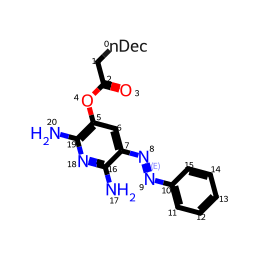 CCCCCCCCCCCC(=O)Oc1cc(/N=N/c2ccccc2)c(N)nc1N